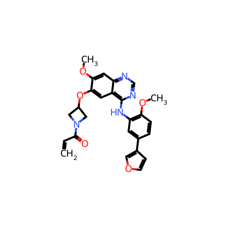 C=CC(=O)N1CC(Oc2cc3c(Nc4cc(-c5ccoc5)ccc4OC)ncnc3cc2OC)C1